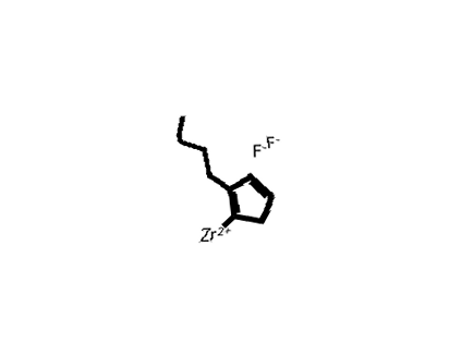 CCCCC1=[C]([Zr+2])CC=C1.[F-].[F-]